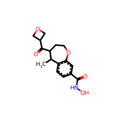 CC1c2ccc(C(=O)NO)cc2OCCC1C(=O)C1COC1